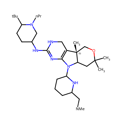 CCCN1CC(NC2=NC3=C(CN2)[C@]2(C)COC(C)(C)CC2N3C2CCCC(CNC)N2)CCC1C(C)(C)C